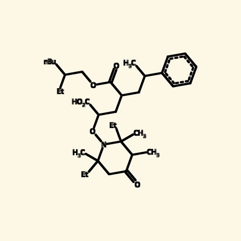 CCCCC(CC)COC(=O)C(CC(ON1C(C)(CC)CC(=O)C(C)C1(C)CC)C(=O)O)CC(C)c1ccccc1